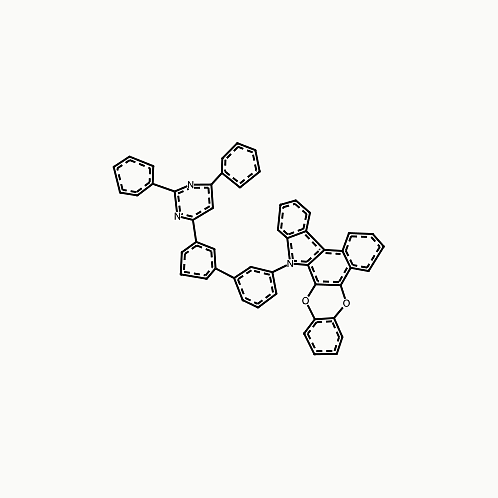 c1ccc(-c2cc(-c3cccc(-c4cccc(-n5c6ccccc6c6c7ccccc7c7c(c65)Oc5ccccc5O7)c4)c3)nc(-c3ccccc3)n2)cc1